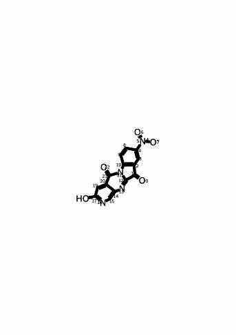 O=C1c2cc([N+](=O)[O-])ccc2-n2c1nc1cnc(O)cc1c2=O